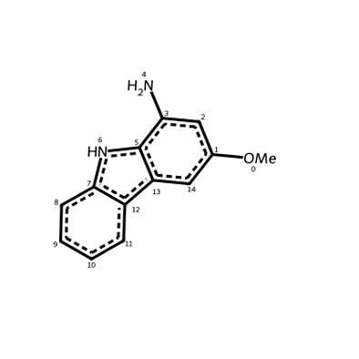 COc1cc(N)c2[nH]c3ccccc3c2c1